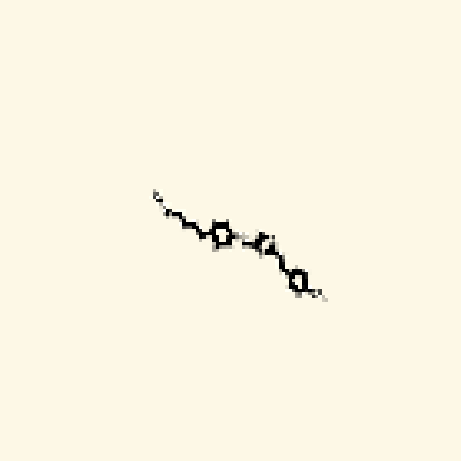 [N-]=[N+]=NCCCCc1ccc(NCc2coc(C=Cc3ccc(C(F)(F)F)cc3)n2)cc1